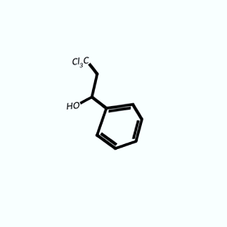 OC(CC(Cl)(Cl)Cl)c1ccccc1